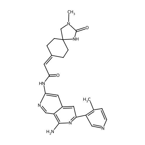 Cc1ccncc1-c1cc2cc(NC(=O)C=C3CCC4(CC3)CN(C)C(=O)N4)ncc2c(N)n1